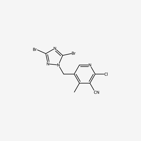 Cc1c(Cn2nc(Br)nc2Br)cnc(Cl)c1C#N